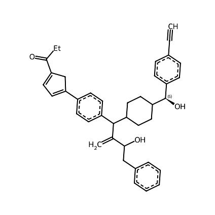 C#Cc1ccc([C@@H](O)C2CCC(C(C(=C)C(O)Cc3ccccc3)c3ccc(C4=CC=C(C(=O)CC)C4)cc3)CC2)cc1